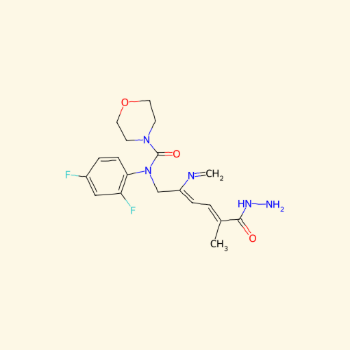 C=N/C(=C\C=C(/C)C(=O)NN)CN(C(=O)N1CCOCC1)c1ccc(F)cc1F